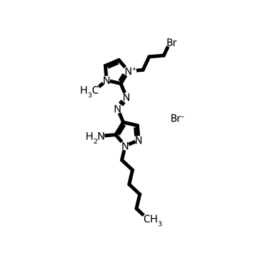 CCCCCCn1ncc(/N=N/c2n(C)cc[n+]2CCCBr)c1N.[Br-]